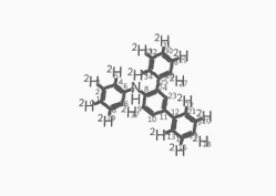 [2H]c1c([2H])c([2H])c(Nc2ccc(-c3c([2H])c([2H])c([2H])c([2H])c3[2H])cc2-c2c([2H])c([2H])c([2H])c([2H])c2[2H])c([2H])c1[2H]